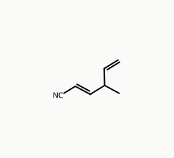 C=CC(C)C=CC#N